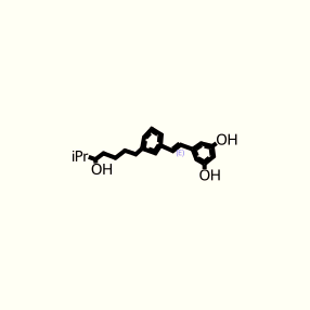 CC(C)C(O)CCCCc1cccc(/C=C/c2cc(O)cc(O)c2)c1